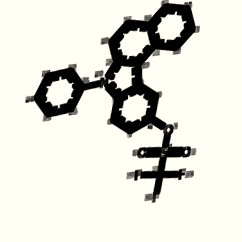 O=S(=O)(Oc1ccc2c(c1)c1c3ccccc3ccc1n2-c1ccccc1)C(F)(F)F